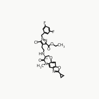 CCOC(=O)c1nn(Cc2cc(F)cc(F)c2)c(Cl)c1CCN[C@H]1COc2cc3oc(C4CC4)nc3cc2N(C)C1=O